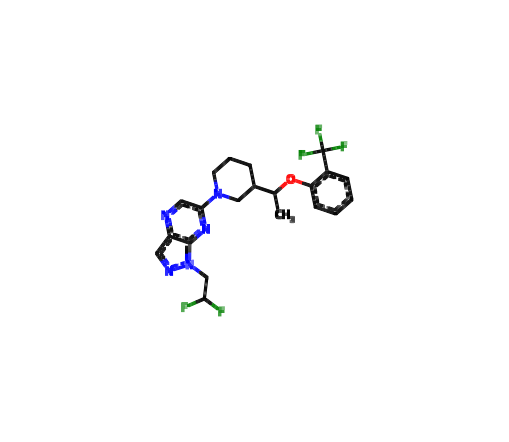 CC(Oc1ccccc1C(F)(F)F)C1CCCN(c2cnc3cnn(CC(F)F)c3n2)C1